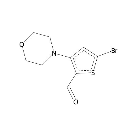 O=Cc1sc(Br)cc1N1CCOCC1